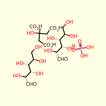 O=C(O)CC(O)(CC(=O)O)C(=O)O.O=C[C@H](O)[C@@H](O)[C@H](O)[C@H](O)CO.O=C[C@H](O)[C@@H](O)[C@H](O)[C@H](O)CO.O=P(O)(O)O